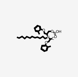 CCCCCCCCCCCCN1C(COc2ccccc2C)COB(O)OCC1COc1ccccc1C